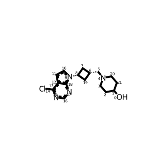 OC1CCN(C[C@H]2C[C@@H](n3ccc4c(Cl)ncnc43)C2)CC1